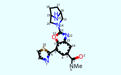 CNC(=O)c1cc(-c2nccs2)c2oc(N3CC4CCC(C3)N4)nc2c1